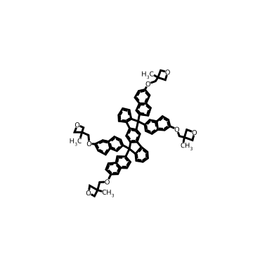 CC1(COc2ccc3cc(C4(c5ccc6cc(OCC7(C)COC7)ccc6c5)c5ccccc5-c5cc6c(cc54)-c4ccccc4C6(c4ccc5cc(OCC6(C)COC6)ccc5c4)c4ccc5cc(OCC6(C)COC6)ccc5c4)ccc3c2)COC1